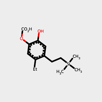 CCc1cc(OC(=O)O)c(O)cc1CC[Si](C)(C)C